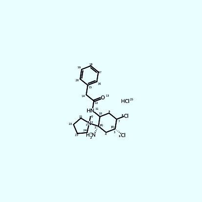 C[N+]1([C@]2(N)C[C@@H](Cl)C(Cl)CC2NC(=O)Cc2ccccc2)CCCC1.Cl